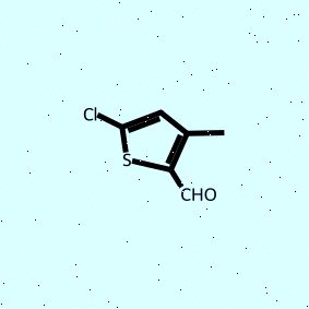 Cc1cc(Cl)sc1C=O